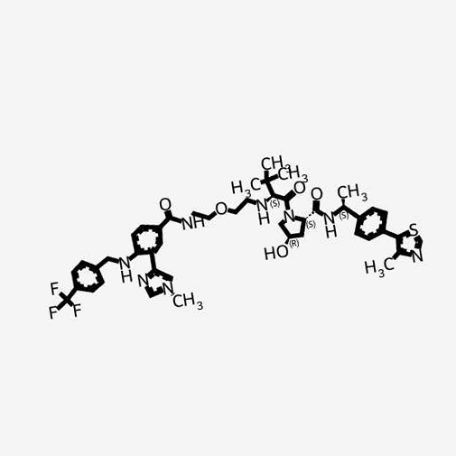 Cc1ncsc1-c1ccc([C@H](C)NC(=O)[C@@H]2C[C@@H](O)CN2C(=O)[C@@H](NCCOCCNC(=O)c2ccc(NCc3ccc(C(F)(F)F)cc3)c(-c3cn(C)cn3)c2)C(C)(C)C)cc1